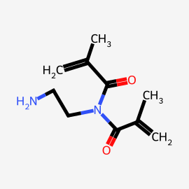 C=C(C)C(=O)N(CCN)C(=O)C(=C)C